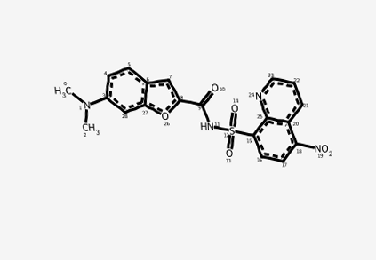 CN(C)c1ccc2cc(C(=O)NS(=O)(=O)c3ccc([N+](=O)[O-])c4cccnc34)oc2c1